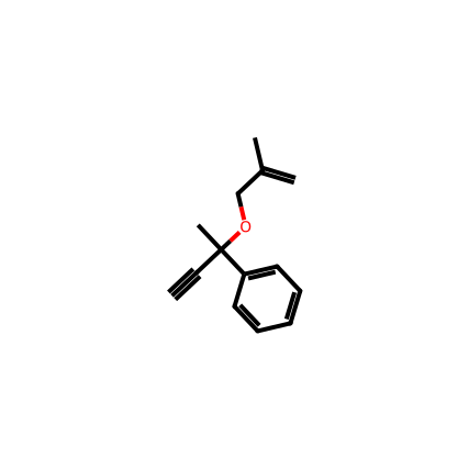 C#CC(C)(OCC(=C)C)c1ccccc1